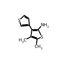 Cc1sc(N)c(-c2[c]scc2)c1C